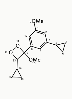 COc1cc(C2CC2)cc(C2(OC)OOC2C2CC2)c1